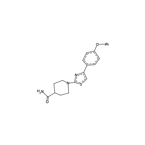 CC(C)Oc1ccc(-c2csc(N3CCC(C(N)=O)CC3)n2)cc1